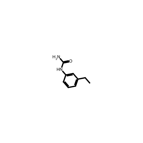 CCc1cc[c]c(NC(N)=O)c1